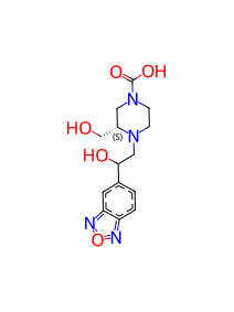 O=C(O)N1CCN(CC(O)c2ccc3nonc3c2)[C@H](CO)C1